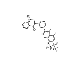 Cc1cc(C(F)(C(F)(F)F)C(F)(F)F)cc(C)c1N(C)C(=O)c1cccc(N(CC(=O)O)C(=O)c2ccccc2)c1